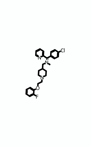 CN(CC1CCN(CCOc2ccccc2F)CC1)[C@@H](c1ccc(Cl)cc1)c1ccccn1